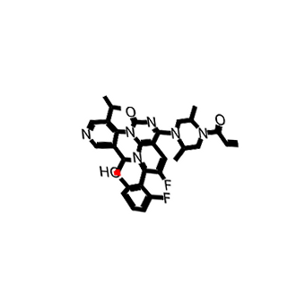 C=CC(=O)N1CC(C)N(c2nc(=O)n(-c3c(C(C)C)cncc3C(C)C)c3nc(-c4c(O)cccc4F)c(F)cc23)CC1C